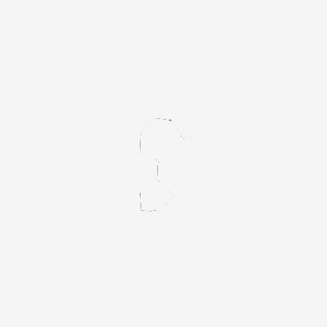 C1CCN(N2CCCC2)CNC1